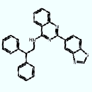 c1ccc(C(CNc2nc(-c3ccc4scnc4c3)nc3ccccc23)c2ccccc2)cc1